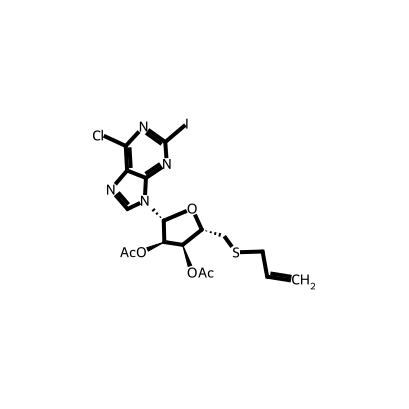 C=CCSC[C@H]1O[C@@H](n2cnc3c(Cl)nc(I)nc32)[C@H](OC(C)=O)[C@@H]1OC(C)=O